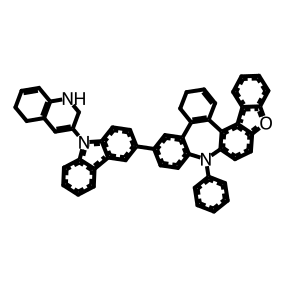 C1=CC2=C(C=C(n3c4ccccc4c4cc(-c5ccc6c(c5)C5=C(C=CCC5)c5c(ccc7oc8ccccc8c57)N6c5ccccc5)ccc43)CN2)CC1